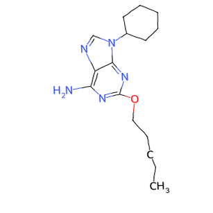 CCCCCOc1nc(N)c2ncn(C3CCCCC3)c2n1